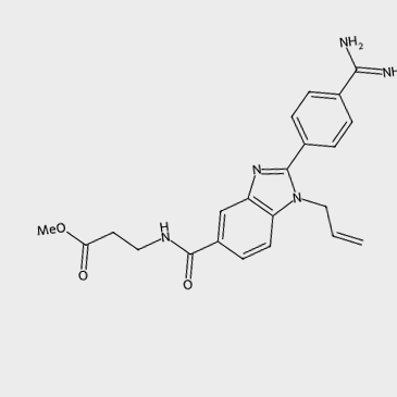 C=CCn1c(-c2ccc(C(=N)N)cc2)nc2cc(C(=O)NCCC(=O)OC)ccc21